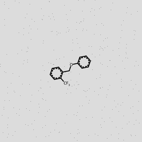 FC(F)(F)c1ccccc1COc1cc[c]cc1